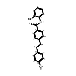 O=C(Nc1ccccc1O)c1ccc(CSc2ccc(O)cc2)cc1